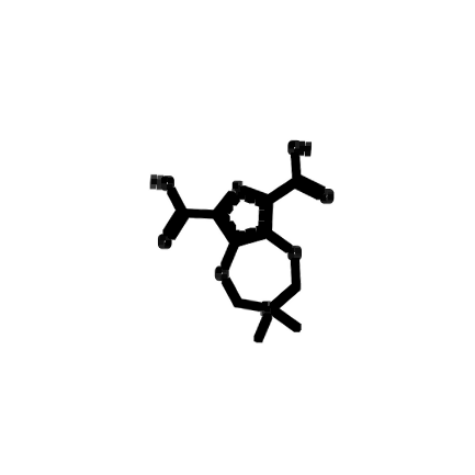 C[Si]1(C)COc2c(C(=O)O)sc(C(=O)O)c2OC1